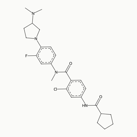 CN(C(=O)c1ccc(NC(=O)C2CCCC2)cc1Cl)c1ccc(N2CCC(N(C)C)C2)c(F)c1